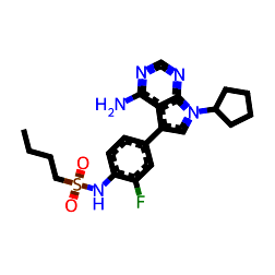 CCCCS(=O)(=O)Nc1ccc(-c2cn(C3CCCC3)c3ncnc(N)c23)cc1F